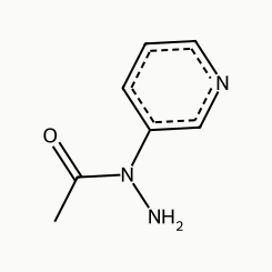 CC(=O)N(N)c1cccnc1